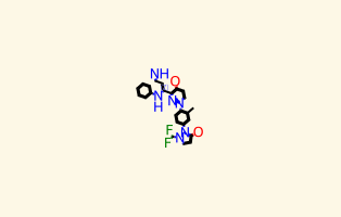 Cc1cc(-n2c(=O)ccn2C(F)F)ccc1-n1ccc(=O)c(/C(=C/C=N)Nc2ccccc2)n1